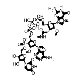 CNC(=O)C[C@H]1[C@@H](OC)[C@H](n2c[n+](C)c3c(=O)[nH]c(N)nc32)O[C@@H]1COP(=O)(O)OP(=O)(O)OP(=O)(O)OC[C@H]1O[C@@H](n2cnc3c(N)ncnc32)[C@H](OC)[C@@H]1P(=O)([O-])OC[C@H]1O[C@@H](n2ccc(=O)[nH]c2=O)[C@H](O)[C@@H]1O